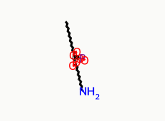 CCCCCCCCCCCCCC(=O)O[C@@H](COP=O)COC(=O)CCCCCCCCCCN